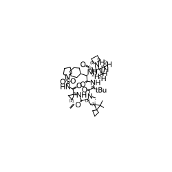 [2H]C([2H])([2H])C([2H])(N1CCC[C@H]1C(=O)NC(C(=O)N[C@H](C(=O)N1C[C@]2(C[C@H]1C(=O)N[C@]1(C(=O)NS(=O)(=O)N3CCCC3)C[C@H]1C=C)C(C)(C)C21CCC1)C(C)(C)C)C1CCCCC1)C([2H])([2H])[2H]